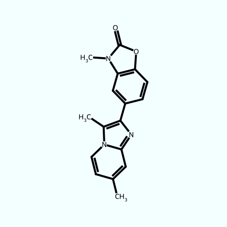 Cc1ccn2c(C)c(-c3ccc4oc(=O)n(C)c4c3)nc2c1